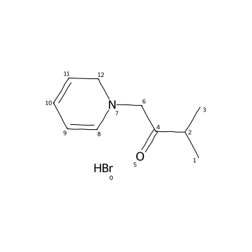 Br.CC(C)C(=O)CN1C=CC=CC1